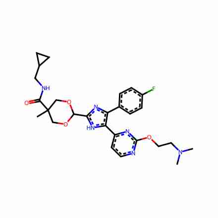 CN(C)CCOc1nccc(-c2[nH]c(C3OCC(C)(C(=O)NCC4CC4)CO3)nc2-c2ccc(F)cc2)n1